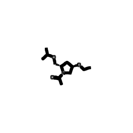 CCO[C@@H]1C[C@@H](COC(C)C)N(C(C)=O)C1